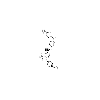 COCCN1CCN(Cc2ccc(NC(=O)c3ccc4c(c3)CN(CC(N)=O)C[C@@H]4C)cc2C(F)(F)F)CC1